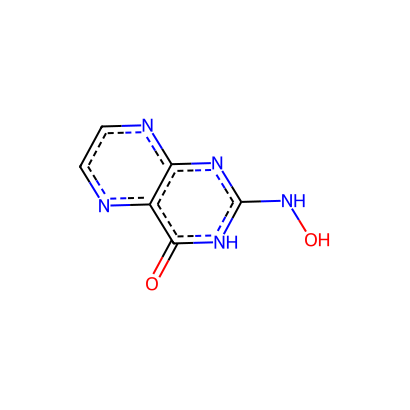 O=c1[nH]c(NO)nc2nccnc12